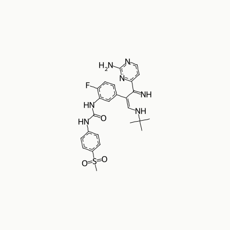 CC(C)(C)N/C=C(\C(=N)c1ccnc(N)n1)c1ccc(F)c(NC(=O)Nc2ccc(S(C)(=O)=O)cc2)c1